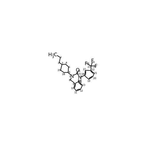 CCCC1CCC(N(Cc2ccccc2)C(=O)Nc2cccc(C(F)(F)F)c2)CC1